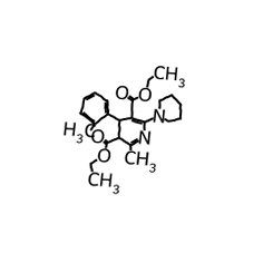 CCOC(=O)C1=C(N2CCCCC2)N=C(C)C(C(=O)OCC)C1c1ccccc1C